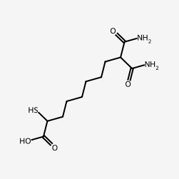 NC(=O)C(CCCCCCC(S)C(=O)O)C(N)=O